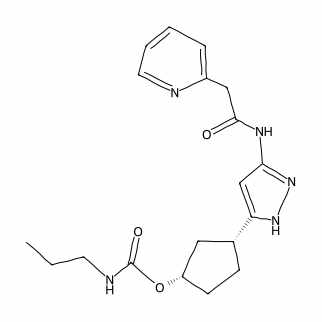 CCCNC(=O)O[C@H]1CC[C@@H](c2cc(NC(=O)Cc3ccccn3)n[nH]2)C1